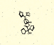 NC(=O)C(c1ccon1)[N+]12CCC(CC1)[C@@H](OC(=O)C(O)(C1CCCC1)C1CCCC1)C2